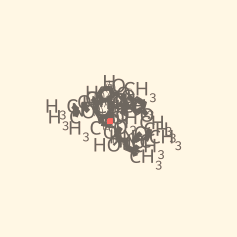 C=C1C2=C(C)[C@@H](OC(=O)[C@H](O)[C@H](C=C(C)C)NC(=O)OC(C)(C)C)C[C@@]1(O)[C@@H](OC(=O)c1cc(OC)ccc1OC)[C@@H]1[C@]3(OC(C)=O)CO[C@@H]3C[C@H]3O[C@@H]([C@@H]2OC(=O)N(C)C)[C@@]13C